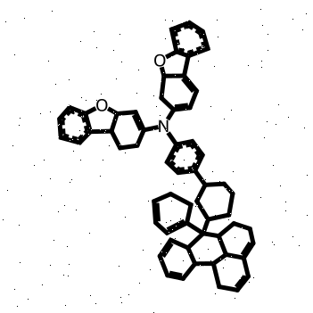 C1=CCCC(C2(C3CCCC(c4ccc(N(C5=CC6Oc7ccccc7C6CC5)C5=CC=C6c7ccccc7OC6C5)cc4)C3)C3C=CC=CC3C3CC=CC4=CCCC2C43)=C1